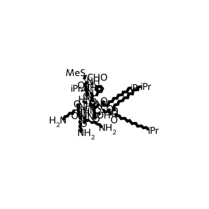 CSCC[C@H](NC=O)C(=O)N[C@@H](CC(C)C)C(=O)N[C@@H](Cc1ccccc1)C(=O)NCCNC(=O)[C@H](CCCCCN)NC(=O)[C@H](CCCCN)NC(=O)[C@H](CCCCN)NC(=O)[C@H](CO)NC(=O)[C@H](CSCC(COC(=O)CCCCCCCCCCCC(C)C)OC(=O)CCCCCCCCCCCC(C)C)NC(=O)CCCCCCCCCCCC(C)C